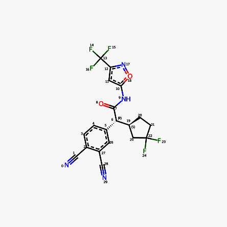 N#Cc1ccc([C@H](C(=O)Nc2cc(C(F)(F)F)no2)[C@H]2CCC(F)(F)C2)cc1C#N